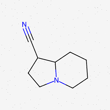 N#CC1CCN2CCCCC12